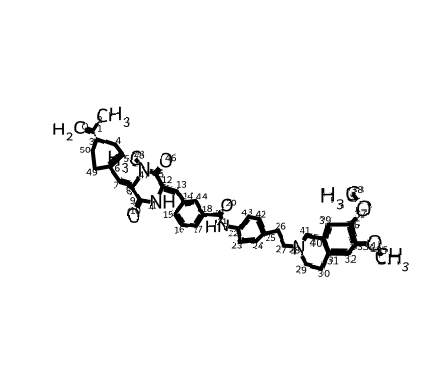 C=C(C)[C@@H]1CC=C(/C=c2/c(=O)[nH]/c(=C\c3cccc(C(=O)Nc4ccc(CCN5CCc6cc(OC)c(OC)cc6C5)cc4)c3)c(=O)n2C)CC1